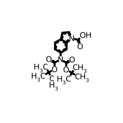 CC(C)(C)OC(=O)N(C(=O)OC(C)(C)C)c1ccc2ccn(C(=O)O)c2c1